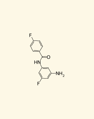 Nc1cc(F)cc(NC(=O)c2ccc(F)cc2)c1